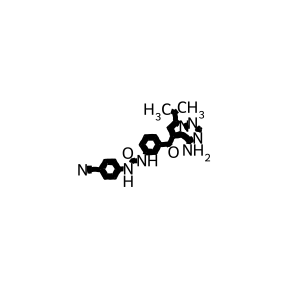 CC(C)c1cc(C(=O)c2cccc(NC(=O)Nc3ccc(C#N)cc3)c2)c2c(N)ncnn12